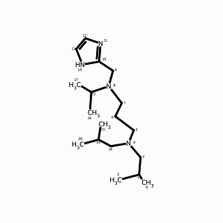 CC(C)CN(CCCN(Cc1ncc[nH]1)C(C)C)CC(C)C